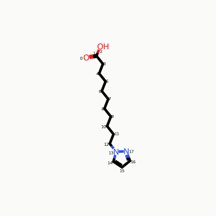 O=C(O)CCCCCCCCCCn1cccn1